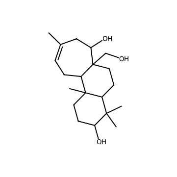 CC1=CCC2C3(C)CCC(O)C(C)(C)C3CCC2(CO)C(O)C1